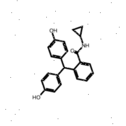 O=C(NC1CC1)c1ccccc1C(c1ccc(O)cc1)c1ccc(O)cc1